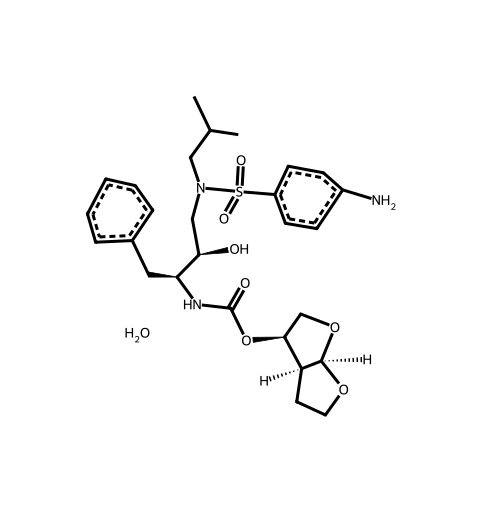 CC(C)CN(C[C@@H](O)[C@H](Cc1ccccc1)NC(=O)O[C@H]1CO[C@H]2OCC[C@H]21)S(=O)(=O)c1ccc(N)cc1.O